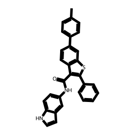 Cc1ccc(-c2ccc3c(C(=O)Nc4ccc5[nH]ccc5c4)c(-c4ccccc4)sc3c2)cc1